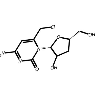 Nc1cc(CCl)n([C@@H]2O[C@H](CO)CC2O)c(=O)n1